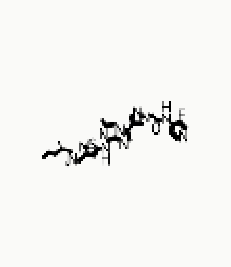 CCC[C@@H](C)CN(C)Cc1cc(Nc2nc(C)cn3c(-c4cnn(CC(=O)Nc5ccncc5F)c4)cnc23)sn1